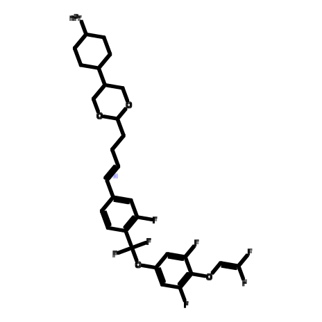 CCCC1CCC(C2COC(CC/C=C/c3ccc(C(F)(F)Oc4cc(F)c(OC=C(F)F)c(F)c4)c(F)c3)OC2)CC1